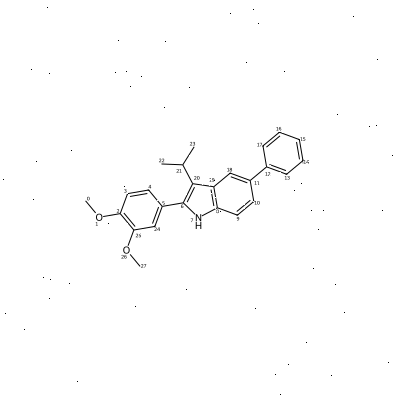 COc1ccc(-c2[nH]c3ccc(-c4c[c]ccc4)cc3c2C(C)C)cc1OC